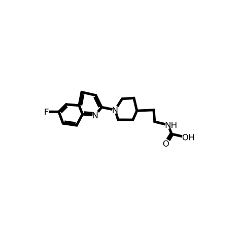 O=C(O)NCCC1CCN(c2ccc3cc(F)ccc3n2)CC1